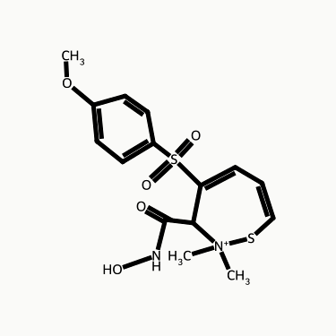 COc1ccc(S(=O)(=O)C2=CC=CS[N+](C)(C)C2C(=O)NO)cc1